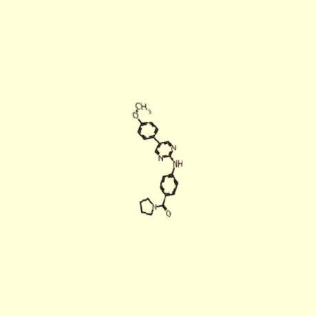 COc1ccc(-c2cnc(Nc3ccc(C(=O)N4CCCC4)cc3)nc2)cc1